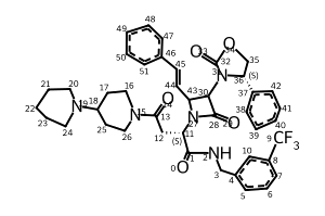 O=C(NCc1cccc(C(F)(F)F)c1)[C@H](CC(=O)N1CCC(N2CCCCC2)CC1)N1C(=O)C(N2C(=O)OC[C@@H]2c2ccccc2)C1C=Cc1ccccc1